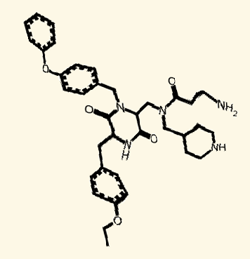 CCOc1ccc(CC2NC(=O)C(CN(CC3CCNCC3)C(=O)CCN)N(Cc3ccc(Oc4ccccc4)cc3)C2=O)cc1